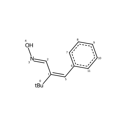 CC(C)(C)C(C=NO)=Cc1ccccc1